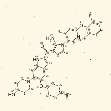 Cc1cc(Oc2c(F)cccc2F)ncc1-n1ncc(C(=O)c2cc3cc(OC4CCN(C(C)C)CC4)c(N4CCC(O)CC4)cc3[nH]2)c1N